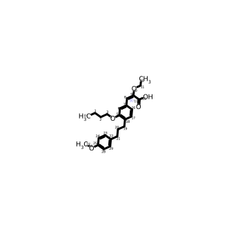 CCCCOc1cc(/C=C(/OCC)C(=O)O)ccc1CCCc1ccc(OC)cc1